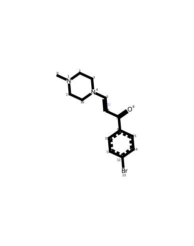 CN1CCN(/C=C/C(=O)c2ccc(Br)cc2)CC1